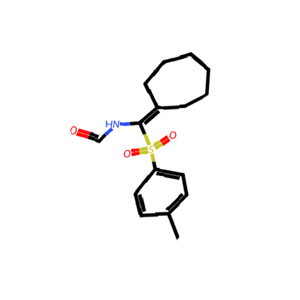 Cc1ccc(S(=O)(=O)C(NC=O)=C2CCCCCC2)cc1